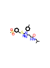 Cc1ccc(-n2c(CCC(=O)NCC(C)C)nnc2SCc2cccc(S(C)(=O)=O)c2)cc1